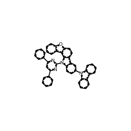 c1ccc(-c2cc(-c3ccccc3)nc(-n3c4ccc(-n5c6ccccc6c6ccccc65)cc4c4ccc5oc6ccccc6c5c43)n2)cc1